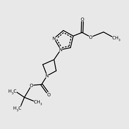 CCOC(=O)c1cnn(C2CN(C(=O)OC(C)(C)C)C2)c1